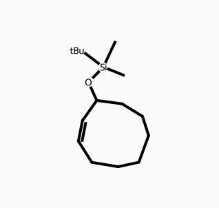 CC(C)(C)[Si](C)(C)OC1C=CCCCCCC1